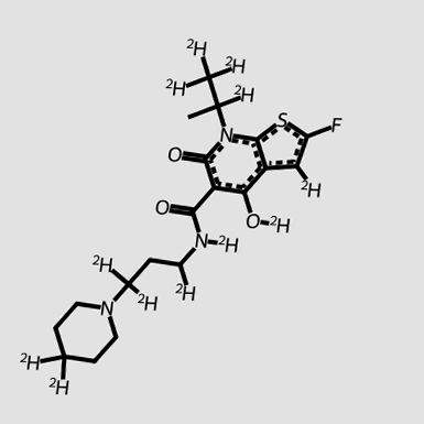 [2H]Oc1c(C(=O)N([2H])C([2H])CC([2H])([2H])N2CCC([2H])([2H])CC2)c(=O)n(C([2H])(C)C([2H])([2H])[2H])c2sc(F)c([2H])c12